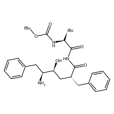 CC[C@H](C)[C@H](NC(=O)OC(C)(C)C)C(=O)NC(=O)[C@H](Cc1ccccc1)C[C@H](O)[C@@H](N)Cc1ccccc1